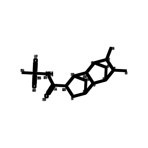 CC1C(C)C2CC1C1C3CC(C(=O)NS(C)(=O)=O)C(C3)C21